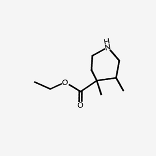 CCOC(=O)C1(C)CCNCC1C